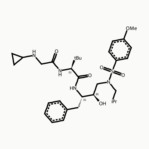 COc1ccc(S(=O)(=O)N(CC(C)C)C[C@@H](O)[C@H](Cc2ccccc2)NC(=O)[C@@H](NC(=O)CNC2CC2)C(C)(C)C)cc1